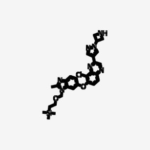 Cc1nc2ccc(Oc3ccc4ncc(-c5cnn(C6CNC6)c5)nc4c3Cl)cc2n1COCC[Si](C)(C)C